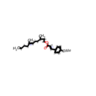 C=CCC/C(C)=C/CCC(C)CCOC(=O)/C=C/c1ccc(OC)cc1